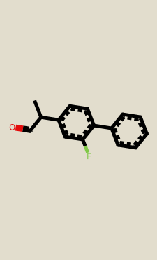 CC([C]=O)c1ccc(-c2ccccc2)c(F)c1